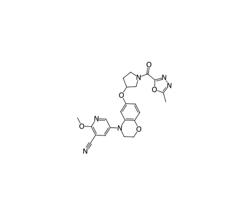 COc1ncc(N2CCOc3ccc(OC4CCN(C(=O)c5nnc(C)o5)C4)cc32)cc1C#N